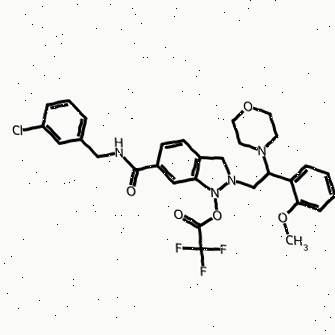 COc1ccccc1C(CN1Cc2ccc(C(=O)NCc3cccc(Cl)c3)cc2N1OC(=O)C(F)(F)F)N1CCOCC1